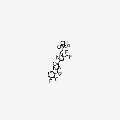 CS(=O)(=O)CCn1nc(-c2nc(C3(c4cccc(F)c4Cl)CC3)no2)cc1C(F)F